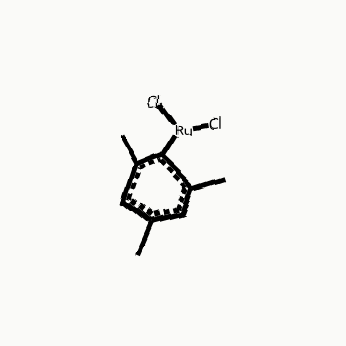 Cc1cc(C)[c]([Ru]([Cl])[Cl])c(C)c1